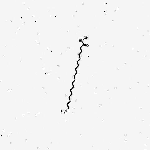 NCCCCCCCCCCCCCCCCCCC(=O)NO